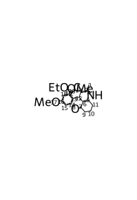 CCOC(=O)C1=C(C)NC2=C(C(=O)CCC2)C1c1ccc(OC)cc1OC